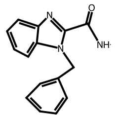 [NH]C(=O)c1nc2ccccc2n1Cc1ccccc1